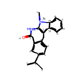 CC(C)c1ccc2c(c1)c(=O)[nH]c1c2c2ccccc2n1C